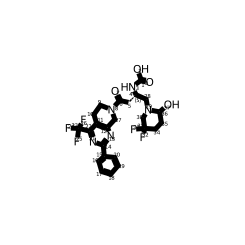 O=C(O)N[C@@H](CC(=O)N1CCc2c(nc(-c3ccccc3)nc2C(F)(F)F)C1)CN1CC(F)(F)CCC1O